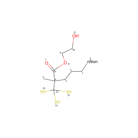 CCCCCCCCCCCCC(C)(C(=O)OCCO)C(S)(S)S